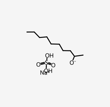 CCCCCCCCC(C)[O-].O=S(=O)(O)O.[Na+]